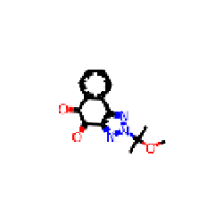 COC(C)(C)n1nc2c(n1)-c1ccccc1C(=O)C2=O